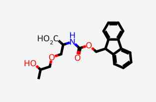 CC(O)COCC(NC(=O)OCC1c2ccccc2-c2ccccc21)C(=O)O